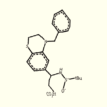 CCOC(=O)CC(N[S+]([O-])C(C)(C)C)c1ccc2c(c1)N(Cc1ccccc1)CCS2